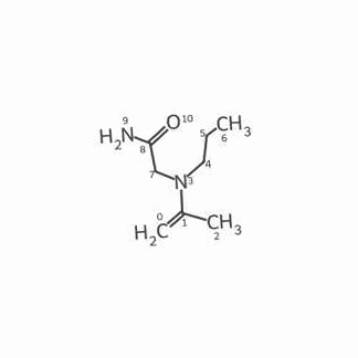 C=C(C)N(CCC)CC(N)=O